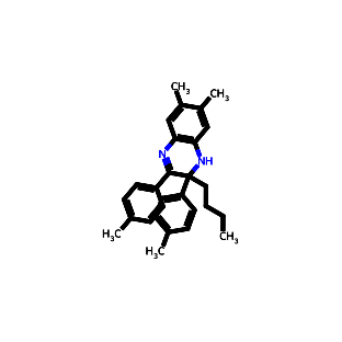 CCCCC1(c2ccc(C)cc2)Nc2cc(C)c(C)cc2N=C1c1ccc(C)cc1